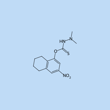 CN(C)NC(=S)Oc1cc([N+](=O)[O-])cc2c1CCCC2